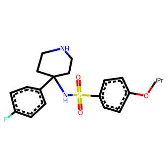 CC(C)Oc1ccc(S(=O)(=O)NC2(c3ccc(F)cc3)CCNCC2)cc1